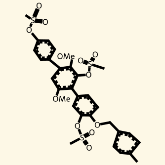 COc1cc(-c2ccc(OS(C)(=O)=O)cc2)c(OC)c(OS(C)(=O)=O)c1-c1ccc(OCc2ccc(C)cc2)c(OS(C)(=O)=O)c1